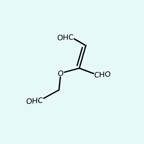 O=C/C=C(/C=O)OCC=O